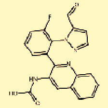 O=Cc1ccnn1-c1c(F)cccc1-c1nc2ccccc2cc1NC(=O)O